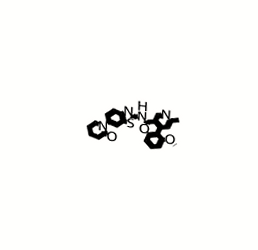 COc1ccccc1-c1cc(C)ncc1C(=O)Nc1nc2ccc(N3CCCCC3=O)cc2s1